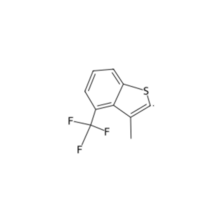 Cc1[c]sc2cccc(C(F)(F)F)c12